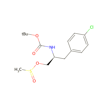 CS(=O)OC[C@H](Cc1ccc(Cl)cc1)NC(=O)OC(C)(C)C